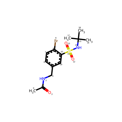 CC(=O)NCc1ccc(Br)c(S(=O)(=O)NC(C)(C)C)c1